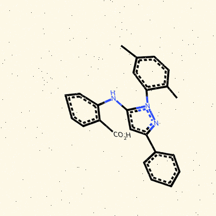 Cc1ccc(C)c(-n2nc(-c3ccccc3)cc2Nc2ccccc2C(=O)O)c1